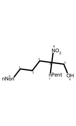 CCCCCCCCCCCCC(CO)(CCCCC)[N+](=O)[O-]